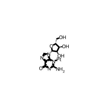 Nc1nc(=O)c2ncn([C@@H]3O[C@H](CO)[C@@H](O)[C@H]3O)c2[n]1[Pt]